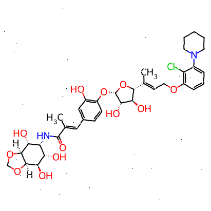 C/C(=C\c1ccc(O[C@@H]2O[C@H](/C(C)=C/COc3cccc(N4CCCCC4)c3Cl)[C@@H](O)[C@@H]2O)c(O)c1)C(=O)N[C@@H]1[C@H](O)[C@@H](O)[C@H]2OCO[C@H]2[C@@H]1O